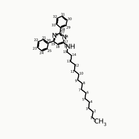 CCCCCCCCCCCCCCCCNc1cc(-c2ccccc2)nc(-c2ccccc2)n1